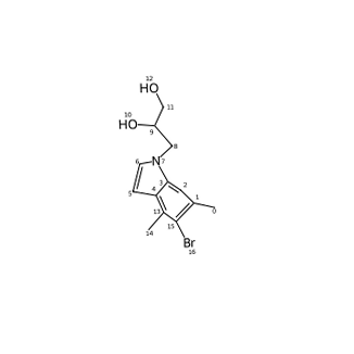 Cc1cc2c(ccn2CC(O)CO)c(C)c1Br